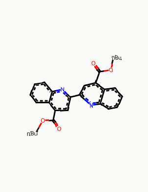 CCCCOC(=O)c1cc(-c2cc(C(=O)OCCCC)c3ccccc3n2)nc2ccccc12